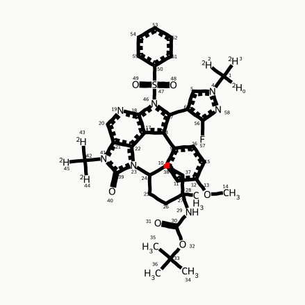 [2H]C([2H])([2H])n1cc(-c2c(-c3ccc(OC)cc3)c3c(ncc4c3n(C3CCC(C)(NC(=O)OC(C)(C)C)CC3)c(=O)n4C([2H])([2H])[2H])n2S(=O)(=O)c2ccccc2)c(F)n1